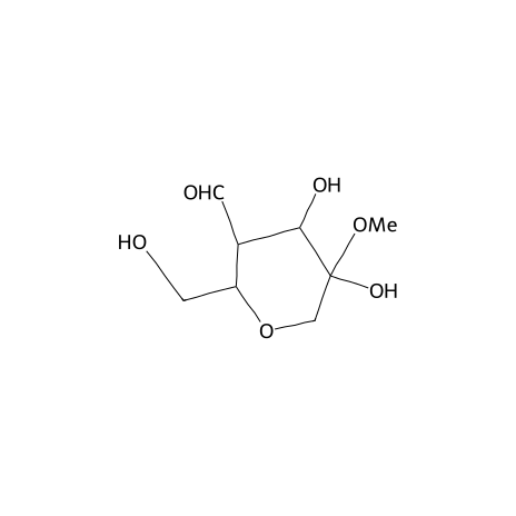 COC1(O)COC(CO)C(C=O)C1O